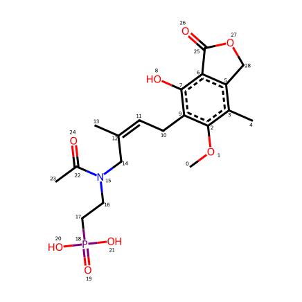 COc1c(C)c2c(c(O)c1CC=C(C)CN(CCP(=O)(O)O)C(C)=O)C(=O)OC2